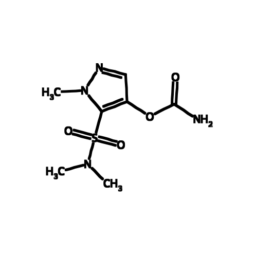 CN(C)S(=O)(=O)c1c(OC(N)=O)cnn1C